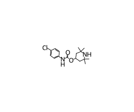 CC1(C)CC(OC(=O)Nc2ccc(Cl)cc2)CC(C)(C)N1